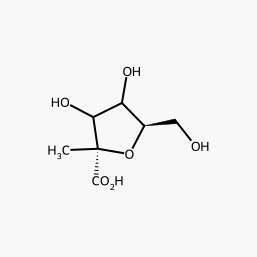 C[C@]1(C(=O)O)O[C@H](CO)C(O)C1O